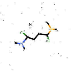 CN(C)C(Cl)CCC(Cl)P(C)C.[Ni]